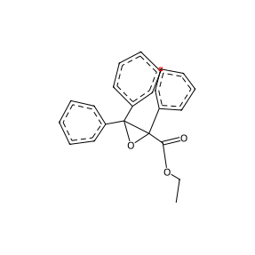 CCOC(=O)C1(c2ccccc2)OC1(c1ccccc1)c1ccccc1